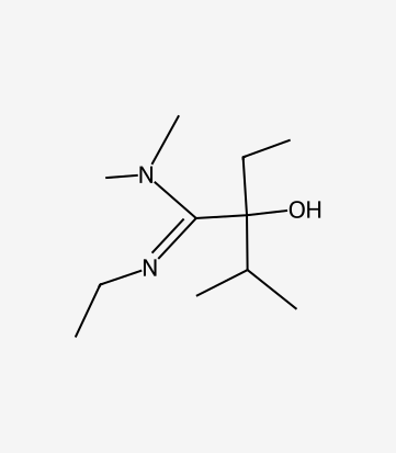 CCN=C(N(C)C)C(O)(CC)C(C)C